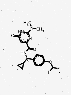 CN(C)c1nc(C(=O)N[C@@H](c2ccc(OC(F)F)cc2)C2CC2)cc(=O)[nH]1